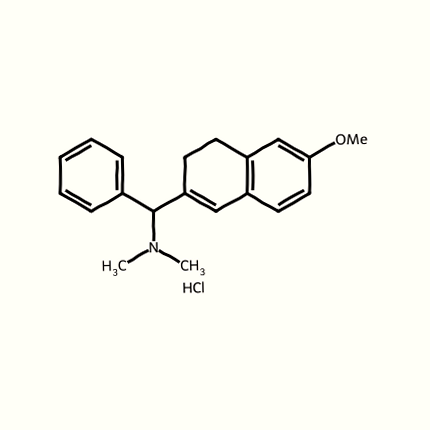 COc1ccc2c(c1)CCC(C(c1ccccc1)N(C)C)=C2.Cl